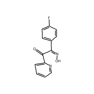 O=C(/C(=N\O)c1ccc(F)cc1)c1ccccn1